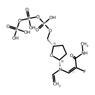 C=CN(/C=C(/F)C(=O)NC)[C@H]1CC[C@@H](COP(=O)(O)OP(=O)(O)OP(=O)(O)O)O1